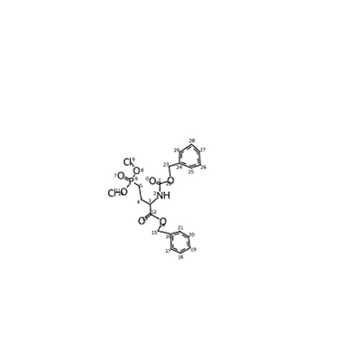 O=C(NC(CCP(=O)(OCl)OCl)C(=O)OCc1ccccc1)OCc1ccccc1